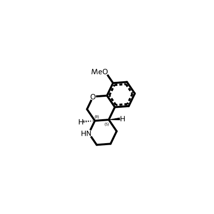 COc1cccc2c1OC[C@@H]1NCCC[C@@H]21